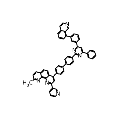 Cc1ccc2ccc3c(-c4ccc(-c5ccc(-c6nc(-c7ccccc7)cc(-c7cccc(-c8cccc9ccncc89)c7)n6)cc5)cc4)cc(-c4cccnc4)nc3c2n1